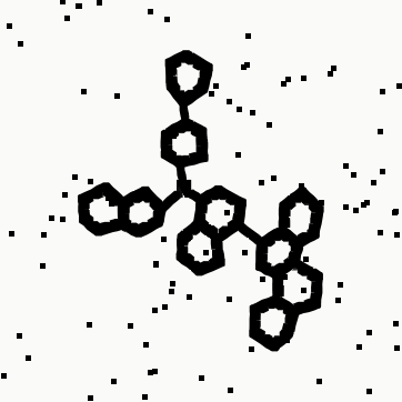 c1ccc(-c2ccc(N(c3ccc4ccccc4c3)c3ccc(-c4cc5c6ccccc6ccc5c5ccccc45)c4ccccc34)cc2)cc1